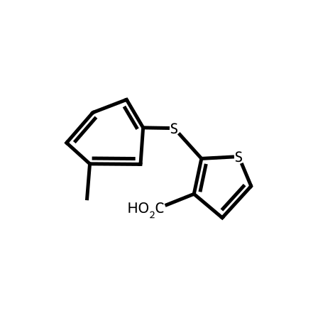 Cc1cccc(Sc2sccc2C(=O)O)c1